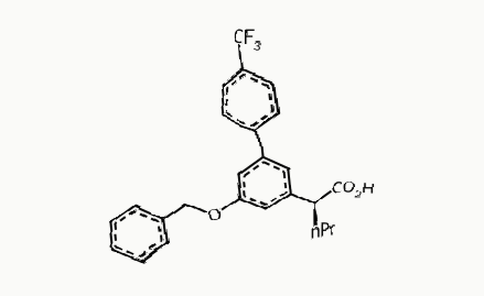 CCC[C@H](C(=O)O)c1cc(OCc2ccccc2)cc(-c2ccc(C(F)(F)F)cc2)c1